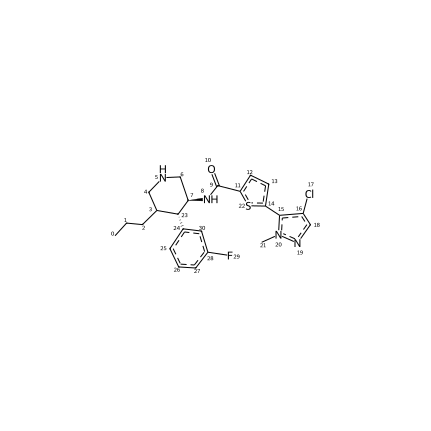 CCCC1CNC[C@@H](NC(=O)c2ccc(-c3c(Cl)cnn3C)s2)[C@@H]1c1cccc(F)c1